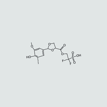 COc1cc(C2OCC(C(=O)OCC(F)(F)S(=O)(=O)O)O2)cc(I)c1O